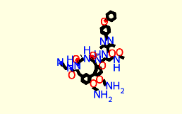 CC(=O)NCCC(NC(=O)c1c(C)nc(-c2ccc(OC3CCCCC3)cc2)nc1C)C(=O)N(C)[C@@H]1C(=O)N[C@@H](C)C(=O)N[C@H](C(=O)NCC#N)Cc2ccc(OCCN)c(c2)-c2cc1ccc2OCCN